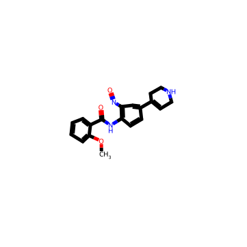 COc1ccccc1C(=O)Nc1ccc(C2=CCNCC2)cc1N=O